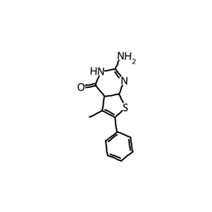 CC1=C(c2ccccc2)SC2N=C(N)NC(=O)C12